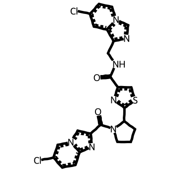 O=C(NCc1ncn2ccc(Cl)cc12)c1csc(C2CCCN2C(=O)c2cn3cc(Cl)ccc3n2)n1